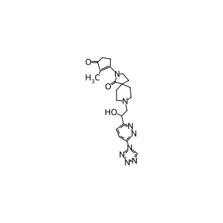 CC1=C(N2CCC3(CCN(CC(O)c4ccc(-n5cnnn5)nn4)CC3)C2=O)CCC1=O